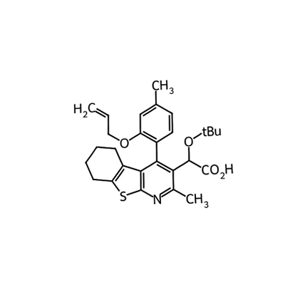 C=CCOc1cc(C)ccc1-c1c(C(OC(C)(C)C)C(=O)O)c(C)nc2sc3c(c12)CCCC3